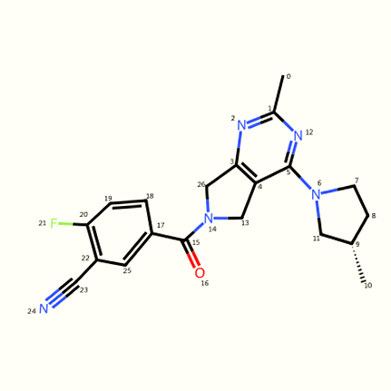 Cc1nc2c(c(N3CC[C@H](C)C3)n1)CN(C(=O)c1ccc(F)c(C#N)c1)C2